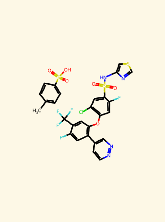 Cc1ccc(S(=O)(=O)O)cc1.O=S(=O)(Nc1cscn1)c1cc(Cl)c(Oc2cc(C(F)(F)F)c(F)cc2-c2ccnnc2)cc1F